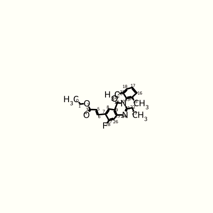 CCOC(=O)C=Cc1cc2c(=O)n(-c3c(C)cccc3C)c(CC)nc2cc1F